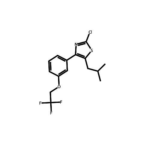 CC(C)Cc1sc(Cl)nc1-c1cccc(OCC(F)(F)F)c1